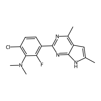 Cc1cc2c(C)nc(-c3ccc(Cl)c(N(C)C)c3F)nc2[nH]1